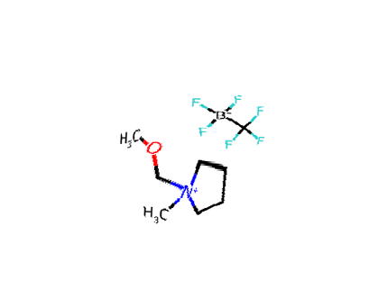 COC[N+]1(C)CCCC1.F[B-](F)(F)C(F)(F)F